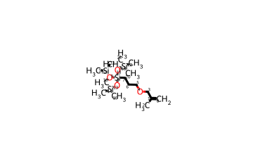 C=C(C)COCCC[Si](O[SiH](C)C)(O[Si](C)(C)C)O[Si](C)(C)C